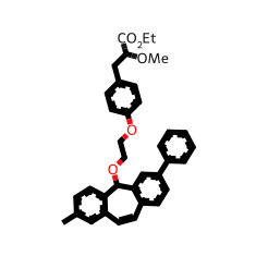 CCOC(=O)C(Cc1ccc(OCCOC2c3ccc(C)cc3C=Cc3ccc(-c4ccccc4)cc32)cc1)OC